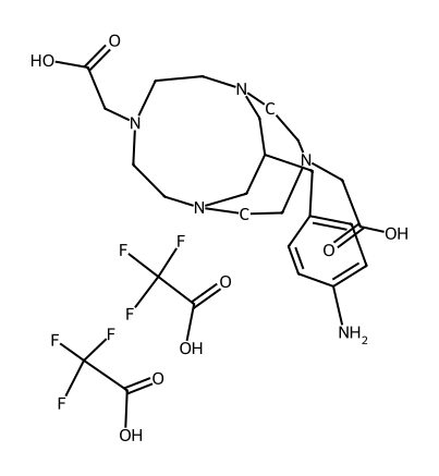 Nc1ccc(CC2CN3CCN(CC(=O)O)CCN(CCN(CC(=O)O)CC3)C2)cc1.O=C(O)C(F)(F)F.O=C(O)C(F)(F)F